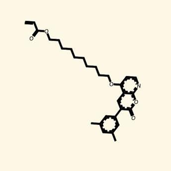 C=CC(=O)OCCCCCCCCCCOc1ccnc2oc(=O)c(-c3cc(C)cc(C)c3)cc12